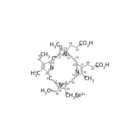 C=CC1=C(C)c2cc3[n-]c(cc4nc(cc5[n-]c(cc1n2)c(C)c5CCC(=O)O)C(CCC(=O)O)=C4C)c(C)c3C=C.[Fe+3]